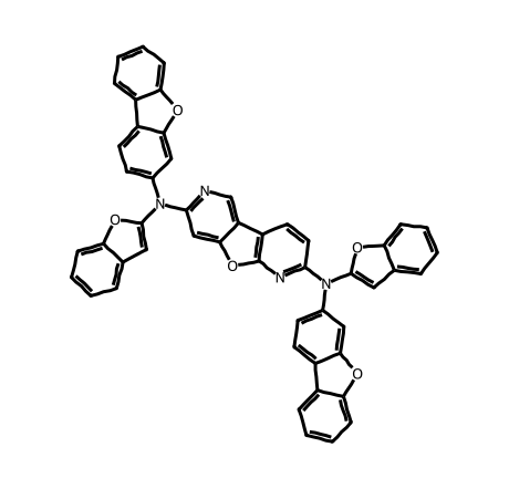 c1ccc2oc(N(c3ccc4c(c3)oc3ccccc34)c3cc4oc5nc(N(c6ccc7c(c6)oc6ccccc67)c6cc7ccccc7o6)ccc5c4cn3)cc2c1